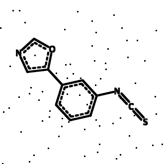 S=C=Nc1cccc(-c2cnco2)c1